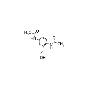 CC(=O)Nc1ccc(NC(C)=O)c(CCO)c1